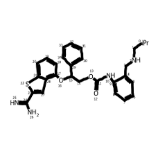 CC(C)CNCc1ccccc1NC(=O)OCC(Oc1cccc2sc(C(=N)N)cc12)c1ccccc1